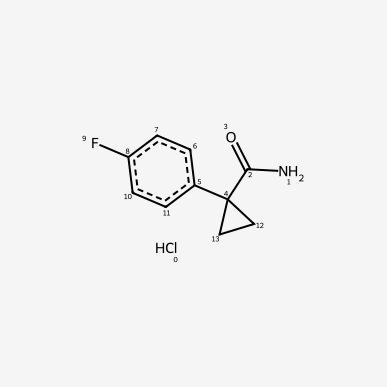 Cl.NC(=O)C1(c2ccc(F)cc2)CC1